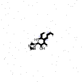 C\C=C/C=C(\C(S)=C/C)C(C)C(O)Cn1cncn1